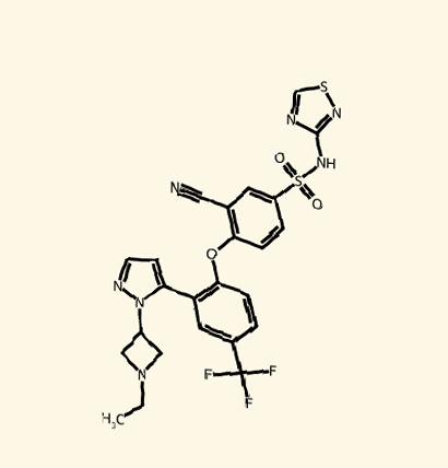 CCN1CC(n2nccc2-c2cc(C(F)(F)F)ccc2Oc2ccc(S(=O)(=O)Nc3ncsn3)cc2C#N)C1